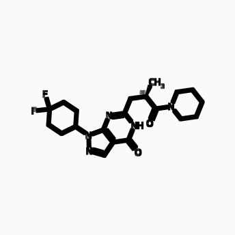 C[C@H](Cc1nc2c(cnn2C2CCC(F)(F)CC2)c(=O)[nH]1)C(=O)N1CCCCC1